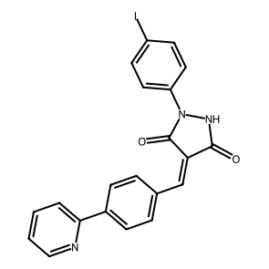 O=C1NN(c2ccc(I)cc2)C(=O)C1=Cc1ccc(-c2ccccn2)cc1